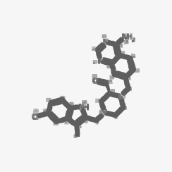 Cc1c(CN2CCN(Cc3ccc4c(N)ncnc4c3)[C@H](C=O)C2)[nH]c2ccc(Cl)cc12